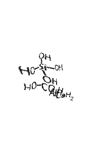 O=C(O)O.O[Si](O)(O)O.[AlH3].[CaH2]